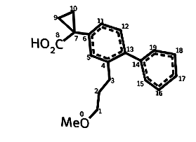 COCCCc1cc(C2(C(=O)O)CC2)ccc1-c1ccccc1